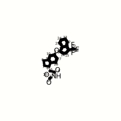 O=C1NC(=O)C([C@@H]2CCc3cc(Oc4ccc(C(F)(F)F)c5ccccc45)ccc32)O1